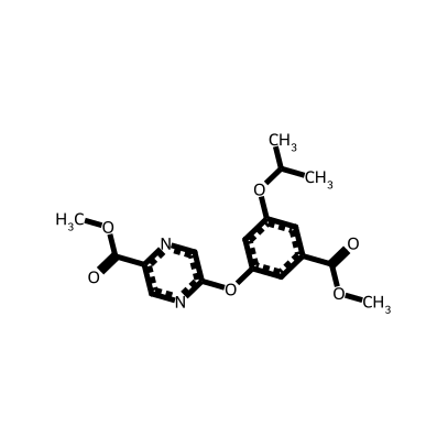 COC(=O)c1cc(Oc2cnc(C(=O)OC)cn2)cc(OC(C)C)c1